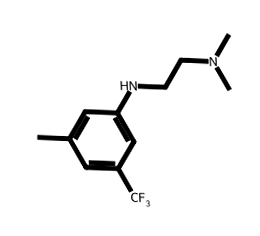 Cc1cc(NCCN(C)C)cc(C(F)(F)F)c1